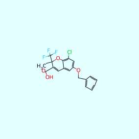 CCC1(C(F)(F)F)Oc2c(Cl)cc(OCc3ccccc3)cc2C=C1C(=O)O